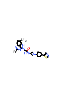 CC(C)c1nc(NCC(=O)NC2CN(C3CCC(c4cncs4)CC3)C2)c2cc(C(F)(F)F)ccc2n1